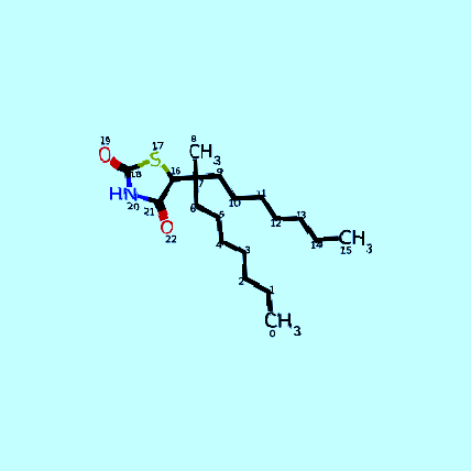 CCCCCCCC(C)(CCCCCCC)C1SC(=O)NC1=O